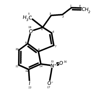 C=CCCC1(C)C=Cc2c(ccc(I)c2[N+](=O)[O-])O1